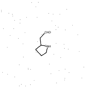 O=[C]CC1CCCN1